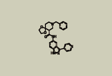 O=C(Nc1ccc2[nH]nc(-c3ccncc3)c2c1)C1CN(Cc2ccccc2)CCC12OCCO2